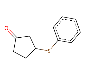 O=C1CCC(Sc2ccccc2)C1